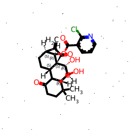 C=C1C(=O)[C@]23[C@H](OC(=O)c4cccnc4Cl)[C@H]1CC[C@H]2C12CO[C@@]3(O)[C@@H](O)[C@@H]1C(C)(C)CCC2=O